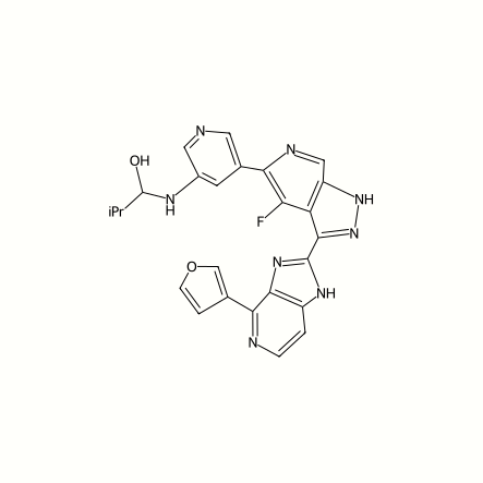 CC(C)C(O)Nc1cncc(-c2ncc3[nH]nc(-c4nc5c(-c6ccoc6)nccc5[nH]4)c3c2F)c1